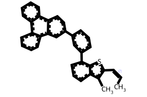 C/C=C\c1sc2c(-c3cccc(-c4ccc5c6ccccc6c6ccccc6c5c4)c3)cccc2c1C